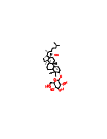 CC(C)CCC[C@@H](C)[C@H]1CC[C@@]2(C)[C@@H]1[C@H](O)C[C@@H]1[C@@]3(C)CC[C@H](O[C@@H]4O[C@H](CO)[C@@H](O)[C@H](O)[C@H]4O)C(C)(C)C3CC[C@]12C